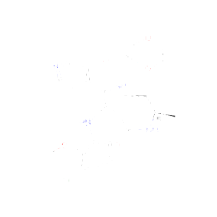 COc1c(Cl)cccc1Nc1c(-c2ccncc2OC[C@@H]2COCCO2)[nH]c2c1C(=O)N[C@H](C)C2